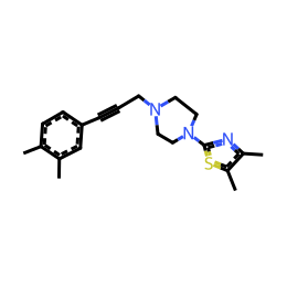 Cc1ccc(C#CCN2CCN(c3nc(C)c(C)s3)CC2)cc1C